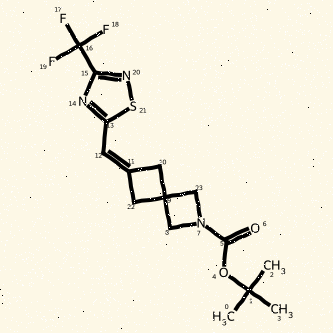 CC(C)(C)OC(=O)N1CC2(CC(=Cc3nc(C(F)(F)F)ns3)C2)C1